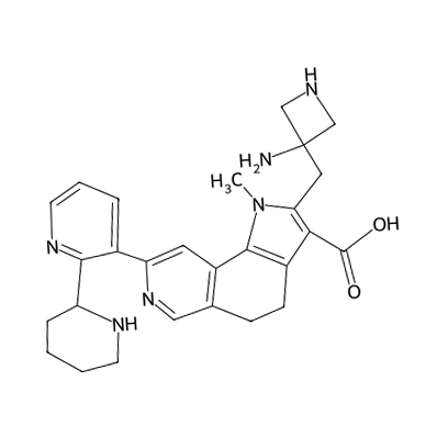 Cn1c(CC2(N)CNC2)c(C(=O)O)c2c1-c1cc(-c3cccnc3C3CCCCN3)ncc1CC2